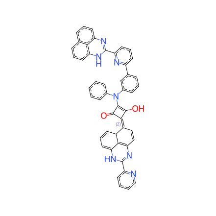 O=C1C(N(c2ccccc2)c2cccc(-c3cccc(C4=Nc5cccc6cccc(c56)N4)n3)c2)=C(O)/C1=C1\C=CC2=C3C(=CC=CC31)NC(c1ccccn1)=N2